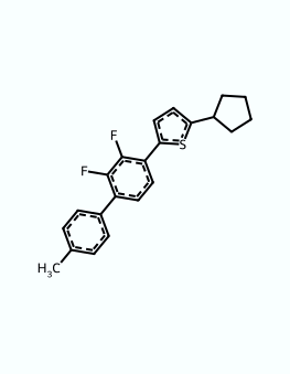 Cc1ccc(-c2ccc(-c3ccc(C4CCCC4)s3)c(F)c2F)cc1